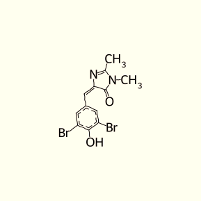 CC1=N/C(=C/c2cc(Br)c(O)c(Br)c2)C(=O)N1C